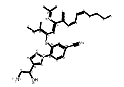 C=C(/C=C\C=C/CCCC)/C(=C/C(Oc1cc(C#N)ccc1-n1cc(C(O)CN)cn1)=C(\C)CC)N=C(C)C